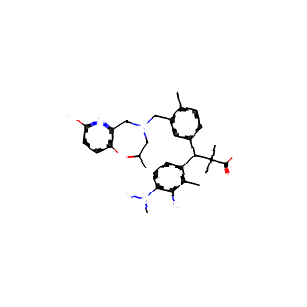 Cc1ccc(C(c2ccc(N(C)N)c(N)c2C)C(C)(C)C(=O)O)cc1CN1Cc2nc(O)ccc2OC(C)C1